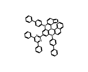 c1ccc(-c2ccc(N3c4cc(-c5nc(-c6ccccc6)cc(-c6ccccc6)n5)cc5c4B(c4c3ccc3ccccc43)c3c(ccc4ccccc34)N5c3ccc(-c4ccccc4)cc3)cc2)cc1